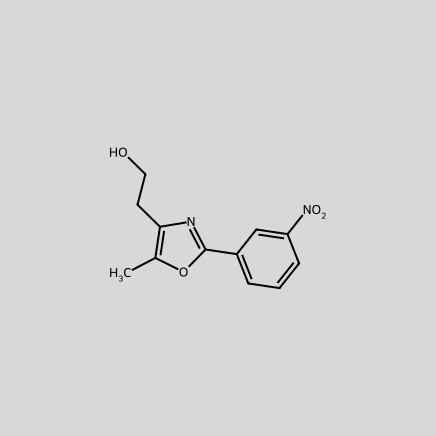 Cc1oc(-c2cccc([N+](=O)[O-])c2)nc1CCO